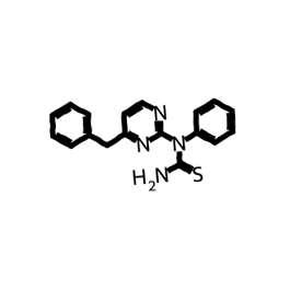 NC(=S)N(c1ccccc1)c1nccc(Cc2ccccc2)n1